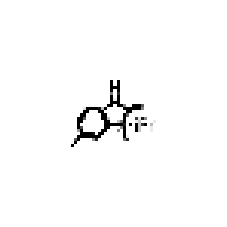 C=C1Nc2ccc(C)cc2[C@@]1(C)C(C)C